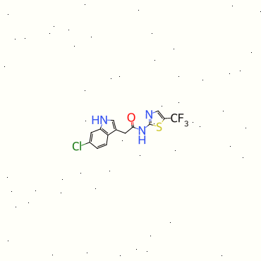 O=C(Cc1c[nH]c2cc(Cl)ccc12)Nc1ncc(C(F)(F)F)s1